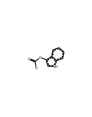 O=C(Cl)Oc1c[nH]c2ccccc12